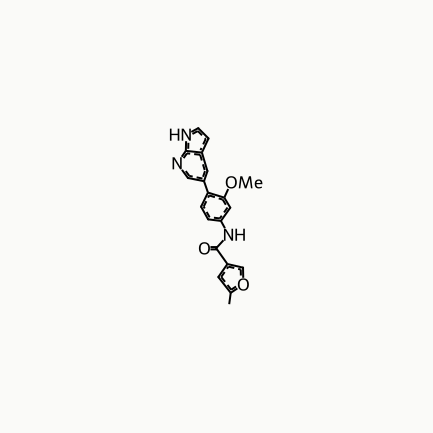 COc1cc(NC(=O)c2coc(C)c2)ccc1-c1cnc2[nH]ccc2c1